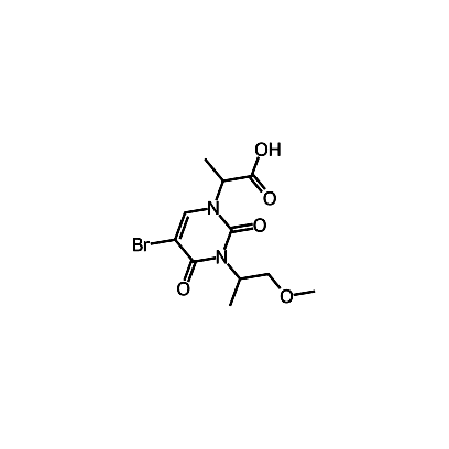 COCC(C)n1c(=O)c(Br)cn(C(C)C(=O)O)c1=O